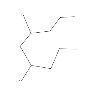 [CH2]C(CCC)CC([CH2])CCC